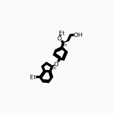 CCO[C@@H](CCO)c1ccc(O[C@@H]2CCc3c(CC)cccc32)cc1